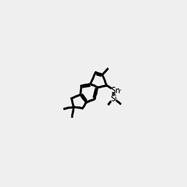 CC1=Cc2cc3c(cc2[CH]1[Sn]=[Si](C)C)CC(C)(C)C3